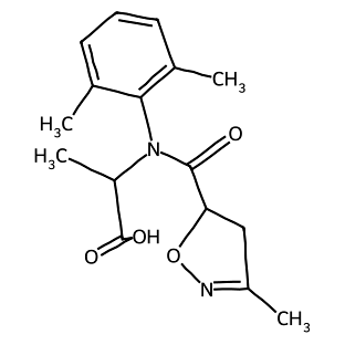 CC1=NOC(C(=O)N(c2c(C)cccc2C)C(C)C(=O)O)C1